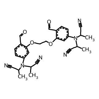 CC(C#N)N(c1ccc(C=O)c(OCCOc2cc(N(C(C)C#N)C(C)C#N)ccc2C=O)c1)C(C)C#N